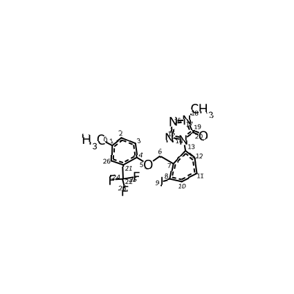 Cc1ccc(OCc2c(I)cccc2-n2nnn(C)c2=O)c(C(F)(F)F)c1